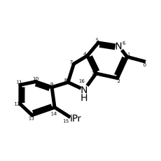 Cc1cc2c(cn1)CC(c1ccccc1C(C)C)N2